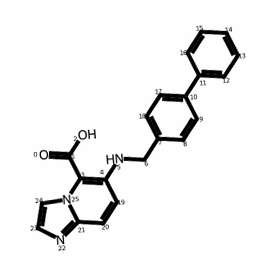 O=C(O)c1c(NCc2ccc(-c3ccccc3)cc2)ccc2nccn12